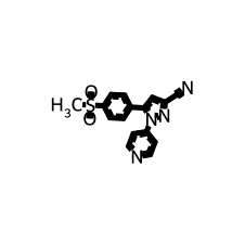 CS(=O)(=O)c1ccc(-c2cc(C#N)nn2-c2ccncc2)cc1